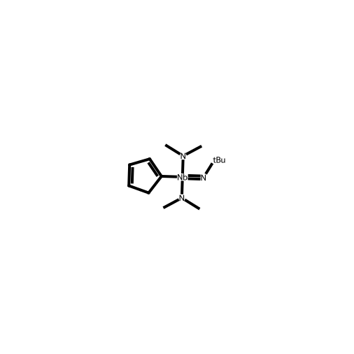 C[N](C)[Nb](=[N]C(C)(C)C)([C]1=CC=CC1)[N](C)C